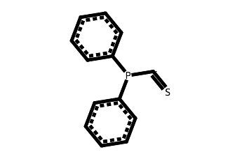 S=[C]P(c1ccccc1)c1ccccc1